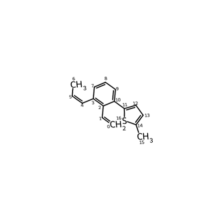 C=Cc1c(/C=C\C)cccc1-c1ccc(C)s1